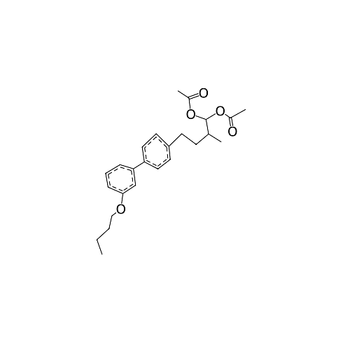 CCCCOc1cccc(-c2ccc(CCC(C)C(OC(C)=O)OC(C)=O)cc2)c1